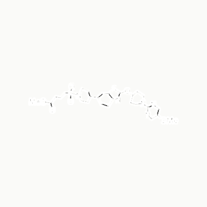 COC(=O)CCCS(=O)(=O)N1CC=C(c2ccc3nc(OC4CCN(c5ncc(OC)cn5)CC4)sc3c2)CC1